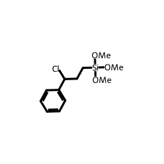 CO[Si](CCC(Cl)c1ccccc1)(OC)OC